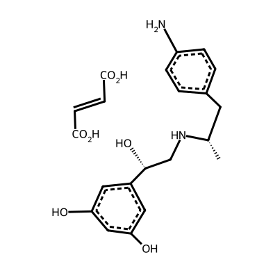 C[C@@H](Cc1ccc(N)cc1)NC[C@@H](O)c1cc(O)cc(O)c1.O=C(O)C=CC(=O)O